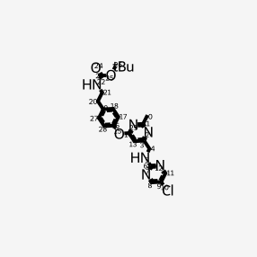 Cc1nc(CNc2ncc(Cl)cn2)cc(Oc2ccc(CCNC(=O)OC(C)(C)C)cc2)n1